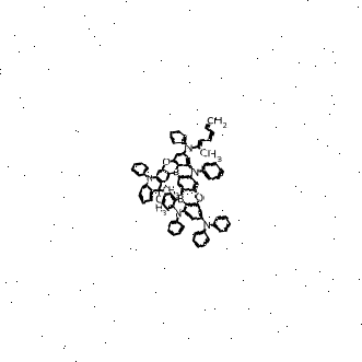 C=C/C=C\C=C(/C)N(c1ccccc1)c1cc2c3c(c1)N(c1ccccc1)c1cc4c(cc1B3c1cc3c(cc1O2)N(c1ccccc1)c1ccccc1C3(C)C)B1c2ccccc2N(c2ccccc2)c2cc(N(c3ccccc3)c3ccccc3)cc(c21)O4